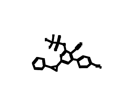 N#Cc1c(-c2ccc(N)cc2)cc(C2CC2c2ccccc2)nc1OS(=O)(=O)C(F)(F)F